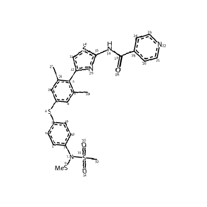 CSN(c1ccc(Sc2cc(C)c(-c3csc(NC(=O)c4ccncc4)n3)c(C)c2)cc1)S(C)(=O)=O